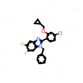 Fc1cc2nc(-c3ccc(Cl)cc3OCC3CC3)n(Cc3ccccc3)c2cc1F